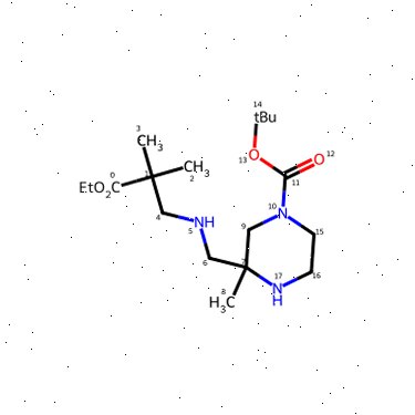 CCOC(=O)C(C)(C)CNCC1(C)CN(C(=O)OC(C)(C)C)CCN1